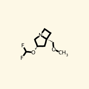 COC[C@@]12CCN1C[C@@H](OC(F)F)C2